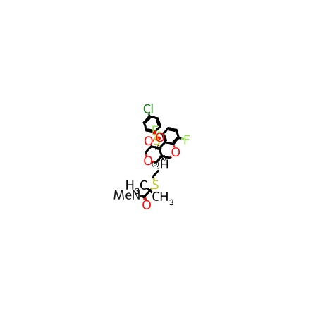 CNC(=O)C(C)(C)SCC[C@@H]1OCC[C@@]2(S(=O)(=O)c3ccc(Cl)cc3)c3c(F)ccc(F)c3OC[C@@H]12